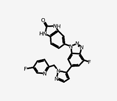 O=c1[nH]c2ccc(-n3nnc4c(F)cc(-c5ccnn5Cc5ccc(F)cn5)cc43)cc2[nH]1